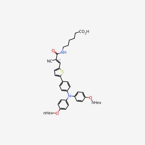 CCCCCCOc1ccc(N(c2ccc(OCCCCCC)cc2)c2ccc(-c3ccc(/C=C(\C#N)C(=O)NCCCCCC(=O)O)s3)cc2)cc1